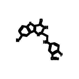 COc1cc(NCc2nc3c(sc4ccc(Br)cc43)c(=O)[nH]2)ccc1F